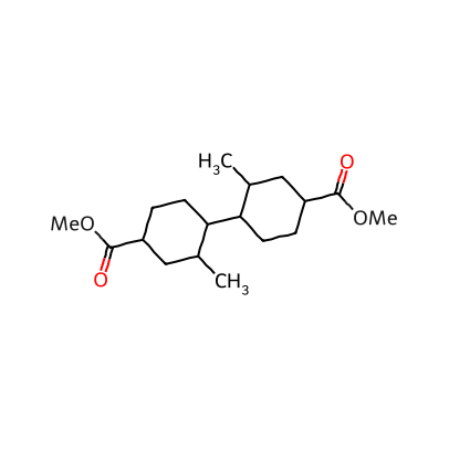 COC(=O)C1CCC(C2CCC(C(=O)OC)CC2C)C(C)C1